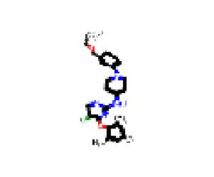 Cc1cc(C#N)cc(C)c1Oc1nc(NC2CCN(c3cccc(COCC(=O)O)c3)CC2)ncc1Br